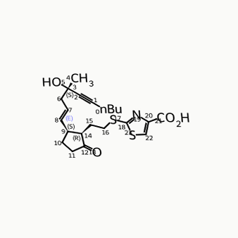 CCCCC#C[C@@](C)(O)C/C=C/[C@@H]1CCC(=O)[C@@H]1CCSc1nc(C(=O)O)cs1